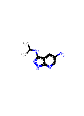 CC(C)Nc1n[nH]c2ncc(N)cc12